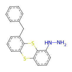 NNc1cccc2c1Sc1c(Cc3ccccc3)cccc1S2